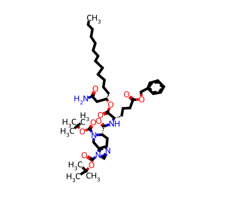 CCCCCCCCCCCCC[C@@H](CC(N)=O)OC(=O)[C@H](CCCC(=O)OCc1ccccc1)NC(=O)[C@@H]1Cc2ncn(C(=O)OC(C)(C)C)c2CN1C(=O)OC(C)(C)C